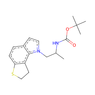 CC(Cn1ccc2ccc3c(c21)CCS3)NC(=O)OC(C)(C)C